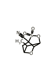 CC1C2CC3(C#N)C(O2)C1OS3(=O)=O